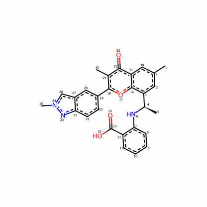 Cc1cc([C@@H](C)Nc2ccccc2C(=O)O)c2oc(-c3ccc4nn(C)cc4c3)c(C)c(=O)c2c1